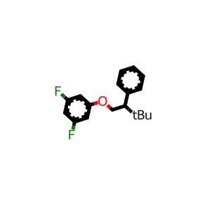 CC(C)(C)C(COc1cc(F)cc(F)c1)c1ccccc1